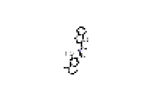 C/C(=N\N(C)c1cc2c(cc1O)N(C)CCC2)c1ccc2ccccc2[n+]1C